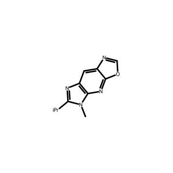 CC(C)c1nc2cc3ncoc3nc2n1C